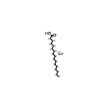 CCCCCCCCCCCCCCCCC(=O)O.[Cu]